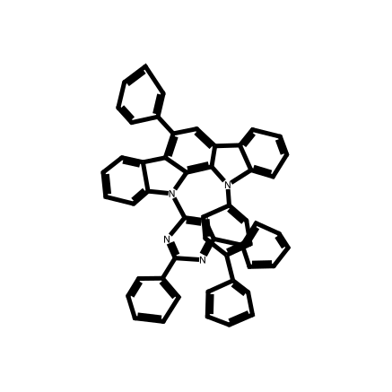 c1ccc(-c2ccc(-n3c4ccccc4c4cc(-c5ccccc5)c5c6ccccc6n(-c6nc(-c7ccccc7)nc(-c7ccccc7)n6)c5c43)cc2)cc1